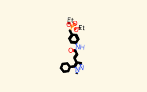 CCOP(=O)(Cc1ccc(NC(=O)/C=C/c2cnn(C)c2C2CCCCC2)cc1)OCC